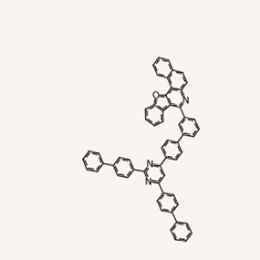 c1ccc(-c2ccc(-c3cc(-c4ccc(-c5cccc(-c6nc7ccc8ccccc8c7c7oc8ccccc8c67)c5)cc4)nc(-c4ccc(-c5ccccc5)cc4)n3)cc2)cc1